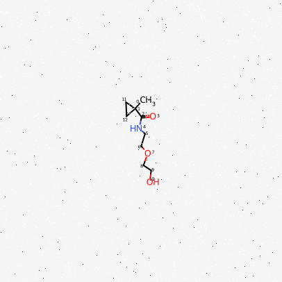 CC1(C(=O)NCCOCCO)CC1